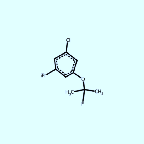 CC(C)c1cc(Cl)cc(OC(C)(C)F)c1